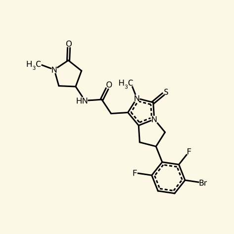 CN1CC(NC(=O)Cc2c3n(c(=S)n2C)CC(c2c(F)ccc(Br)c2F)C3)CC1=O